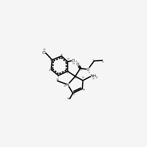 CCOC(=O)C1(c2ccc(Cl)cc2Cl)C(N)C=C(C)N1C